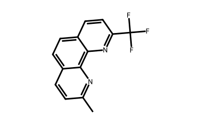 Cc1ccc2ccc3ccc(C(F)(F)F)nc3c2n1